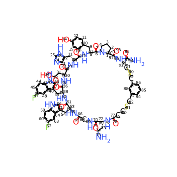 C[C@@]12CCCN1C(=O)[C@H](Cc1ccc(O)cc1)NC(=O)[C@@H](Cc1cnc[nH]1)NC(=O)[C@H](CC(=O)O)NC(=O)[C@H](Cc1c[nH]c3ccc(F)cc13)NC(=O)[C@H](Cc1c[nH]c3ccc(F)cc13)NC(=O)CNC(=O)[C@@H](CCN)NC(=O)CCSCc1cccc(c1)CSC[C@@H](C(N)=O)NC2=O